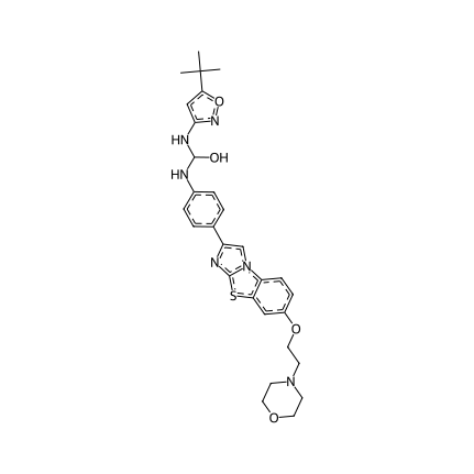 CC(C)(C)c1cc(NC(O)Nc2ccc(-c3cn4c(n3)sc3cc(OCCN5CCOCC5)ccc34)cc2)no1